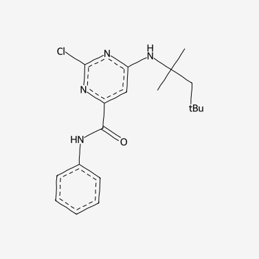 CC(C)(C)CC(C)(C)Nc1cc(C(=O)Nc2ccccc2)nc(Cl)n1